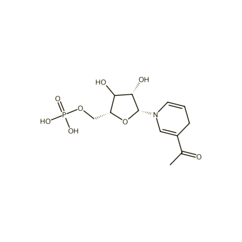 CC(=O)C1=CN([C@@H]2O[C@H](COP(=O)(O)O)C(O)[C@@H]2O)C=CC1